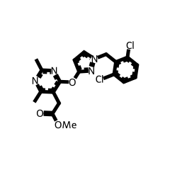 COC(=O)Cc1c(C)nc(C)nc1Oc1ccn(Cc2c(Cl)cccc2Cl)n1